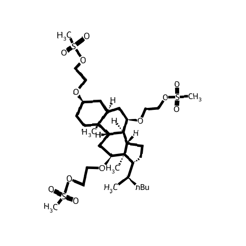 CCCC[C@@H](C)[C@H]1CC[C@H]2[C@@H]3[C@H](OCCOS(C)(=O)=O)C[C@@H]4C[C@H](OCCOS(C)(=O)=O)CC[C@]4(C)[C@H]3C[C@H](OCCOS(C)(=O)=O)[C@]12C